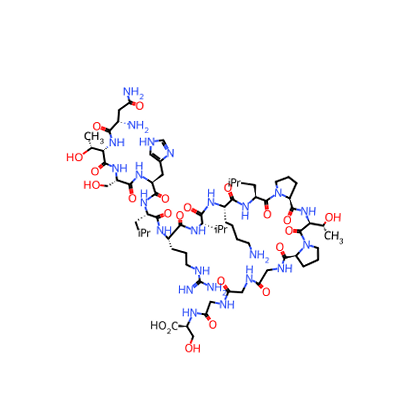 CC(C)C[C@H](NC(=O)[C@H](Cc1c[nH]cn1)NC(=O)[C@H](CO)NC(=O)[C@@H](NC(=O)[C@@H](N)CC(N)=O)[C@@H](C)O)C(=O)N[C@@H](CCCNC(=N)N)C(=O)N[C@H](C(=O)N[C@@H](CCCCN)C(=O)N[C@@H](CC(C)C)C(=O)N1CCC[C@H]1C(=O)N[C@H](C(=O)N1CCC[C@H]1C(=O)NCC(=O)NCC(=O)NCC(=O)N[C@@H](CO)C(=O)O)[C@@H](C)O)C(C)C